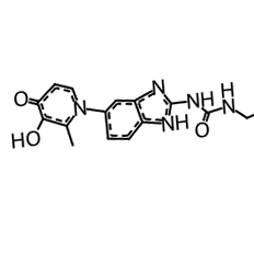 CCNC(=O)Nc1nc2cc(-n3ccc(=O)c(O)c3C)ccc2[nH]1